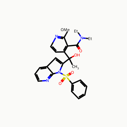 CCN(CC)C(=O)c1c(C(C)(O)c2cc3cccnc3n2S(=O)(=O)c2ccccc2)ccnc1OC